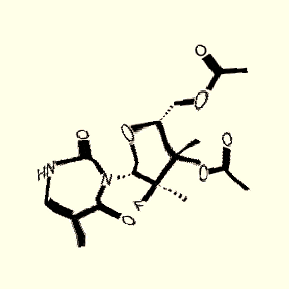 CC(=O)OC[C@H]1O[C@@H](n2c(=O)[nH]cc(C)c2=O)[C@](C)(F)[C@@]1(C)OC(C)=O